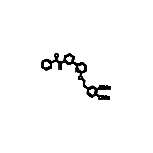 COc1ccc(CCOc2cccc(-c3cccc(NC(=O)c4ccccc4)c3)n2)cc1OC